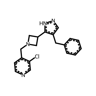 Clc1cnccc1CN1CC(c2[nH]ncc2Cc2ccccc2)C1